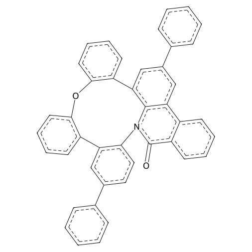 O=c1c2ccccc2c2cc(-c3ccccc3)cc3c2n1-c1ccc(-c2ccccc2)cc1-c1ccccc1Oc1ccccc1-3